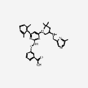 Cc1cncc(CNC(COc2cc(-c3c(C)cccc3C)nc(NSc3cccc(C(=O)O)c3)n2)CC(C)(C)C)n1